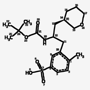 Cc1ccc(S(=O)(=O)O)cc1CC(C[C@H]1CCCOC1)NC(=O)OC(C)(C)C